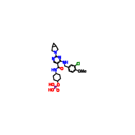 COc1ccc(CNc2nc(N3CC4CC4C3)ncc2C(=O)NC2CCC(OP(=O)(O)O)CC2)cc1Cl